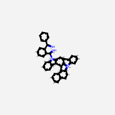 N=C(c1ccccc1)c1ccccc1C(=N)n1c2ccccc2c2c3c4c5ccccc5ccc4n4c5ccccc5c(cc21)c34